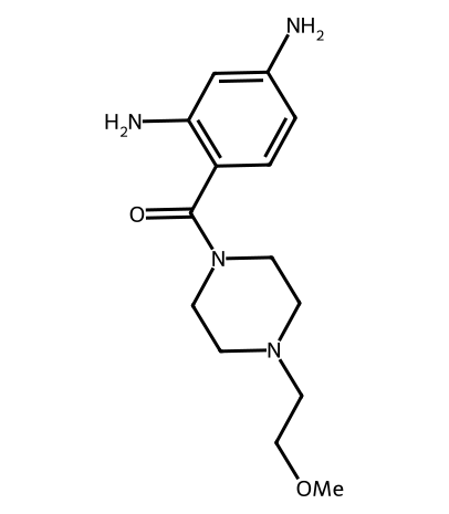 COCCN1CCN(C(=O)c2ccc(N)cc2N)CC1